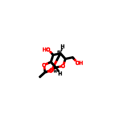 CC12OC3C(O)[C@H](O1)C(CO)O[C@@H]3O2